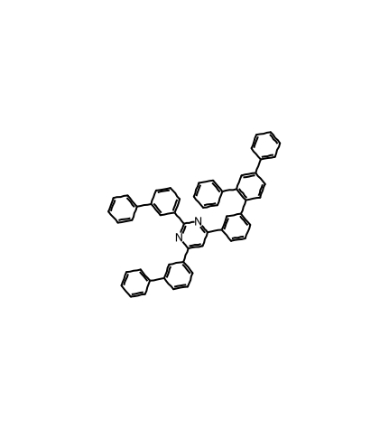 c1ccc(-c2cccc(-c3cc(-c4cccc(-c5ccc(-c6ccccc6)cc5-c5ccccc5)c4)nc(-c4cccc(-c5ccccc5)c4)n3)c2)cc1